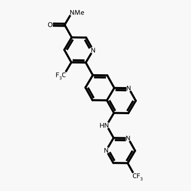 CNC(=O)c1cnc(-c2ccc3c(Nc4ncc(C(F)(F)F)cn4)ccnc3c2)c(C(F)(F)F)c1